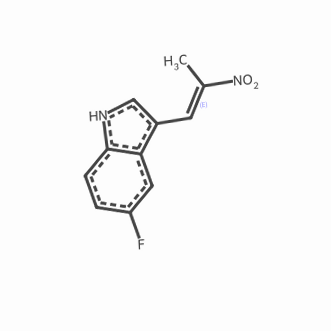 C/C(=C\c1c[nH]c2ccc(F)cc12)[N+](=O)[O-]